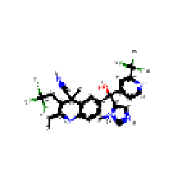 CCC1=Nc2ccc(C(O)(c3ccnc(C(F)(F)F)c3)c3cncn3C)cc2C(C)(C#N)C1CC(F)(F)F